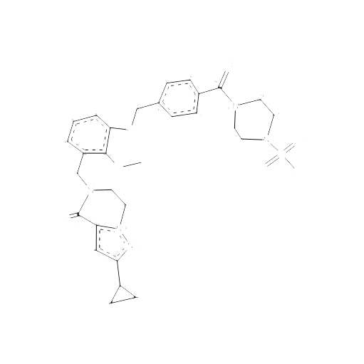 COc1c(CN2CCn3nc(C4CC4)cc3C2=O)cccc1OCc1ccc(C(=O)N2CCN(S(C)(=O)=O)CC2)cc1